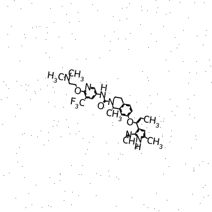 C=Nc1[nH]c(C)cc1/C(=C\C)Oc1ccc2c(c1)[C@H](C)N(C(=O)Nc1cnc(OCCN(C)C)c(C(F)(F)F)c1)CC2